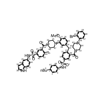 CCCCc1ccc(NS(=O)(=O)c2ccc(Cc3ccc(OC)c(N4CCN(C(=O)c5cc(S(=O)(=O)Nc6ccc7[nH]ccc7c6)ccc5C)CC4)c3)c(C(=O)N3CCN(c4ccccc4Br)CC3)c2)cc1